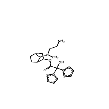 CN(CCN)C1C2CCC1C(OC(=O)C(O)(c1cccs1)c1cccs1)C2